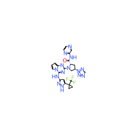 O=C(Nc1cnccn1)[C@@H]1C[C@@H](n2ncnn2)CN1c1nc(Nc2cc(C3(C(F)(F)F)CC3)[nH]n2)n2cccc2n1